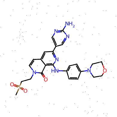 CS(=O)(=O)CCn1ccc2cc(-c3cnc(N)nc3)nc(Nc3ccc(N4CCOCC4)cc3)c2c1=O